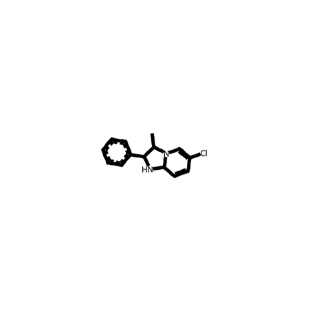 CC1C(c2ccccc2)NC2C=CC(Cl)=CN21